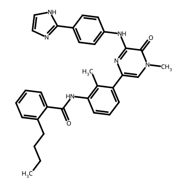 CCCCc1ccccc1C(=O)Nc1cccc(-c2cn(C)c(=O)c(Nc3ccc(-c4ncc[nH]4)cc3)n2)c1C